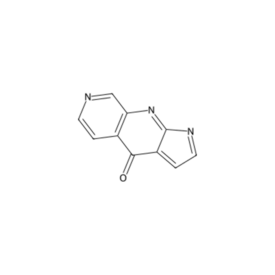 O=C1C2=CC=NC2=Nc2cnccc21